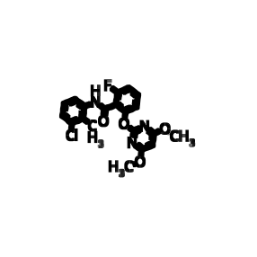 COc1cc(OC)nc(Oc2cccc(F)c2C(=O)Nc2cccc(Cl)c2C)n1